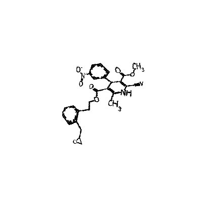 COC(=O)C1=C(C#N)NC(C)=C(C(=O)OCCc2ccccc2CC2CO2)C1c1cccc([N+](=O)[O-])c1